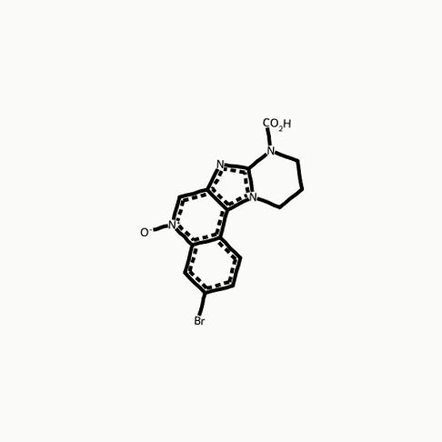 O=C(O)N1CCCn2c1nc1c[n+]([O-])c3cc(Br)ccc3c12